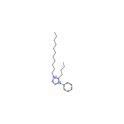 CCCCCCCCCCC[n+]1ccn(-c2ccccc2)c1CCCC